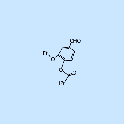 CCOc1cc(C=O)ccc1OC(=O)C(C)C